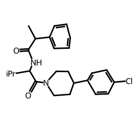 CC(C(=O)NC(C(=O)N1CCC(c2ccc(Cl)cc2)CC1)C(C)C)c1ccccc1